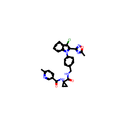 Cc1ccc(C(=O)NC2(C(=O)NCc3ccc(-n4c(-c5noc(C)n5)c(Cl)c5ccccc54)cc3)CC2)cn1